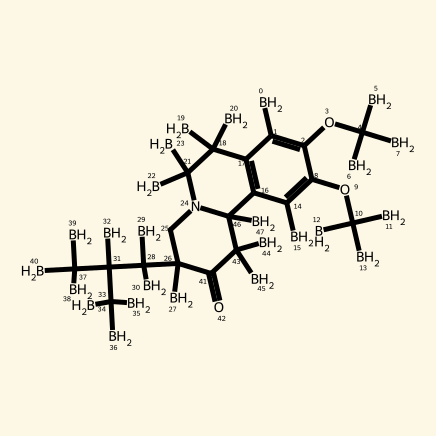 Bc1c(OC(B)(B)B)c(OC(B)(B)B)c(B)c2c1C(B)(B)C(B)(B)N1CC(B)(C(B)(B)C(B)(C(B)(B)B)C(B)(B)B)C(=O)C(B)(B)C21B